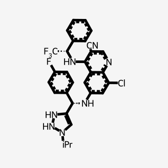 CC(C)N1C=C([C@@H](Nc2cc(Cl)c3ncc(C#N)c(N[C@@H](c4ccccc4)C(F)(F)F)c3c2)c2ccc(F)cc2)NN1